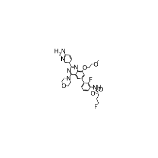 COCCOc1cc(-c2cccc(NS(=O)(=O)CCCF)c2F)cc2c(N3CCOCC3)nc(-c3ccc(N)nc3)nc12